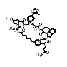 Cc1ncsc1-c1ccc([C@H](C)NC(=O)[C@@H]2C[C@@H](O)CN2C(=O)[C@@H](NC(=O)CCCCCc2ccc([C@H](CCC(N)=O)NC(=O)[C@@H]3Cc4cccc5c4N3C(=O)[C@@H](NC(=O)OC(C)(C)C)CC5)nc2)C(C)(C)C)cc1